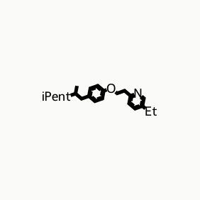 CCCC(C)C(C)Cc1ccc(OCCc2ccc(CC)cn2)cc1